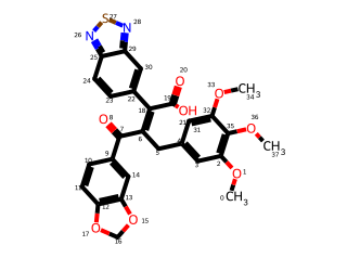 COc1cc(C/C(C(=O)c2ccc3c(c2)OCO3)=C(\C(=O)O)c2ccc3nsnc3c2)cc(OC)c1OC